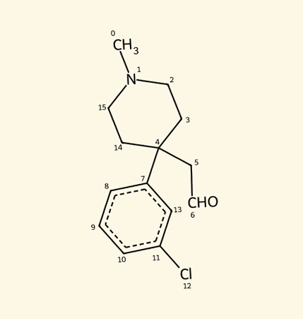 CN1CCC(CC=O)(c2cccc(Cl)c2)CC1